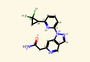 NC(=O)Cc1cc2c(cn1)cnn2-c1cccc(C2CC2(F)F)n1